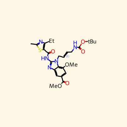 CCc1nc(C)sc1C(=O)Nc1nc2cc(C(=O)OC)cc(OC)c2n1C/C=C/CNC(=O)OC(C)(C)C